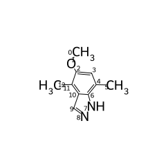 COc1cc(C)c2[nH]ncc2c1C